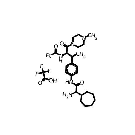 CCC(=O)NC(C(=O)N1CCN(C)CC1)C(C)c1ccc(NC(=O)C(N)C2CCCCCC2)cc1.O=C(O)C(F)(F)F